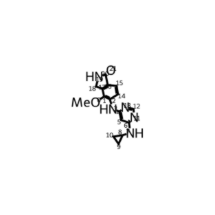 COc1c(Nc2cc(NC3CC3)ncn2)ccc2c1CNC2=O